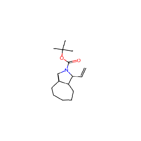 C=CC1C2CCCCCC2CN1C(=O)OC(C)(C)C